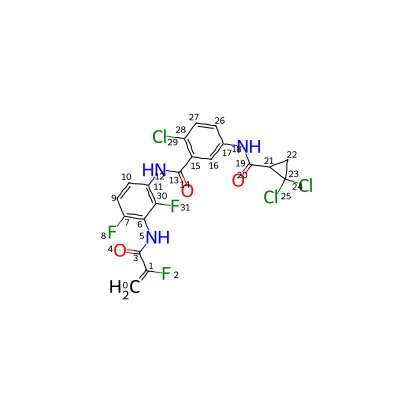 C=C(F)C(=O)Nc1c(F)ccc(NC(=O)c2cc(NC(=O)C3CC3(Cl)Cl)ccc2Cl)c1F